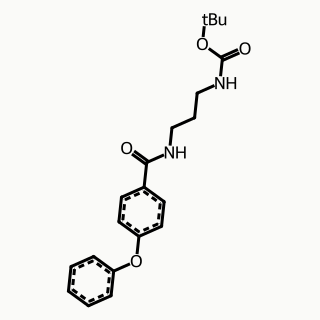 CC(C)(C)OC(=O)NCCCNC(=O)c1ccc(Oc2ccccc2)cc1